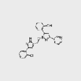 OC1=C(C2CC(c3cccnc3)=NN2OCc2cc(-c3ccccc3Cl)n[nH]2)C=CCC1